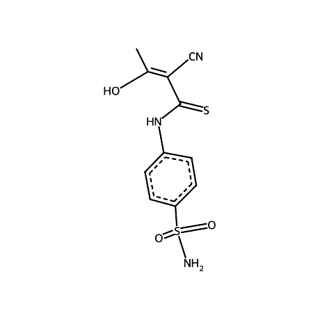 CC(O)=C(C#N)C(=S)Nc1ccc(S(N)(=O)=O)cc1